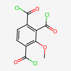 COc1c(C(=O)Cl)ccc(C(=O)Cl)c1C(=O)Cl